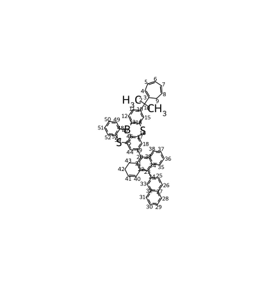 CC(C)(C1=CC=CC=CC1)c1ccc2c(c1)Sc1cc(-c3c4c(c(-c5ccc6ccccc6c5)c5ccccc35)C=CCC4)cc3c1B2c1ccccc1S3